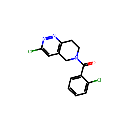 O=C(c1ccccc1Cl)N1CCc2nnc(Cl)cc2C1